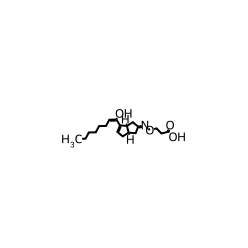 CCCCCC/C=C(/O)C1=CC[C@H]2C/C(=N\OCCC(=O)O)C[C@@H]12